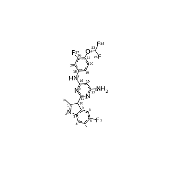 CC1=Nc2ccc(F)cc2C1c1nc(N)cc(Nc2ccc(OC(F)F)c(F)c2)n1